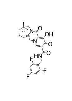 C[C@@]12CCC[C@]3(Cn4cc(C(=O)NCc5c(F)cc(F)cc5F)c(=O)c(O)c4C(=O)N3C1)C2